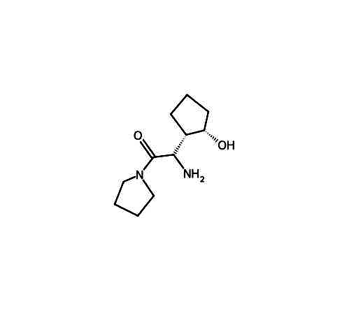 NC(C(=O)N1CCCC1)[C@@H]1CCC[C@@H]1O